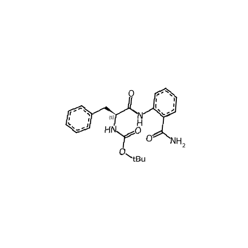 CC(C)(C)OC(=O)N[C@@H](Cc1ccccc1)C(=O)Nc1ccccc1C(N)=O